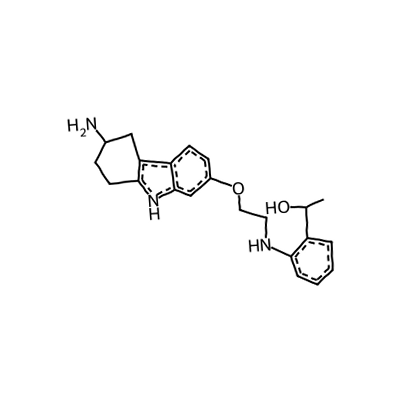 CC(O)c1ccccc1NCCOc1ccc2c3c([nH]c2c1)CCC(N)C3